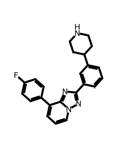 Fc1ccc(-c2cccn3nc(-c4[c]ccc(C5CCNCC5)c4)nc23)cc1